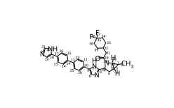 CC1[C@@H]2[C@H]1C[C@@H](c1ncc(-c3ccc(-c4ccc(-c5cnc[nH]5)cc4)cc3)[nH]1)N2C(=O)CC1CCC(F)(F)CC1